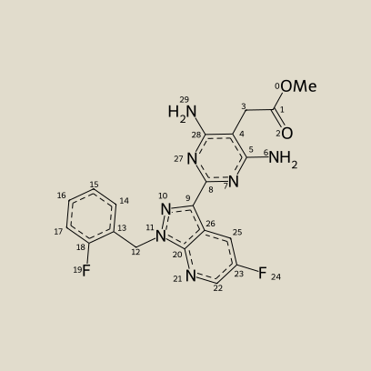 COC(=O)Cc1c(N)nc(-c2nn(Cc3ccccc3F)c3ncc(F)cc23)nc1N